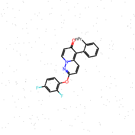 CCCc1ccccc1-c1c(=O)ccn2nc(Oc3ccc(F)cc3F)ccc12